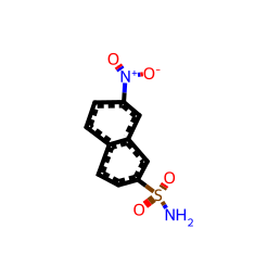 NS(=O)(=O)c1ccc2ccc([N+](=O)[O-])cc2c1